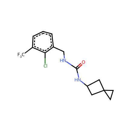 O=C(NCc1cccc(C(F)(F)F)c1Cl)NC1CC2(CC2)C1